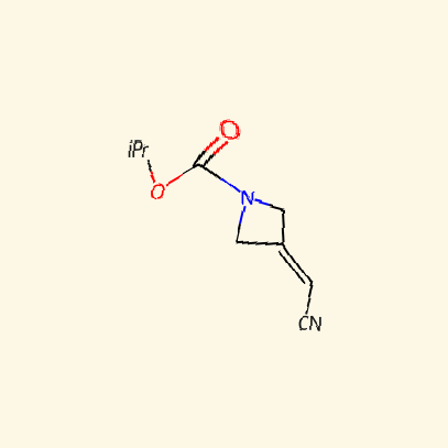 CC(C)OC(=O)N1CC(=CC#N)C1